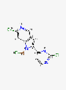 FSn1c(-c2ccnc(Cl)n2)cc2cnc(Cl)cc21